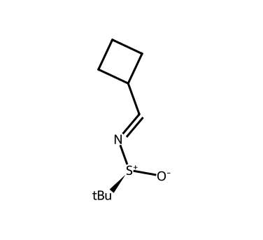 CC(C)(C)[S@+]([O-])N=CC1CCC1